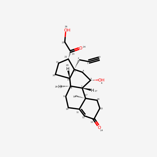 C#CC[C@]12C[C@H](O)[C@H]3[C@@H](CCC4=CC(=O)CC[C@@]43C)[C@@H]1CC[C@@H]2C(=O)CO